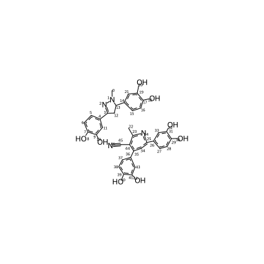 CN1N=C(c2ccc(O)c(O)c2)CC1c1ccc(O)c(O)c1.Cc1nc(-c2ccc(O)c(O)c2)cc(-c2ccc(O)c(O)c2)c1C#N